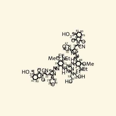 CCN(CC)c1cc(Nc2nc(Nc3cc(N(CC)CC)c(OC)cc3/N=N/c3nc(N4CCOCC4)c(/C=C(\C#N)N4C(=O)c5cccc(S(=O)(=O)O)c5C4=O)s3)nc(N(CCO)CCO)n2)c(/N=N/c2nc(N3CCOCC3)c(/C=C(\C#N)N3C(=O)c4cccc(S(=O)(=O)O)c4C3=O)s2)cc1OC